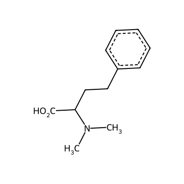 CN(C)C(CCc1ccccc1)C(=O)O